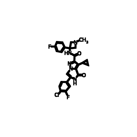 CN1CC(NC(=O)c2nn3cc(-c4ccc(Cl)c(F)c4)[nH]c(=O)c3c2C2CC2)(c2ccc(F)cc2)C1